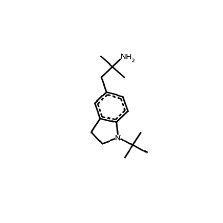 CC(C)(N)Cc1ccc2c(c1)CCN2C(C)(C)C